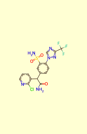 NC(=O)C(c1ccc(-n2cnc(C(F)(F)F)n2)c(S(N)(=O)=O)c1)c1cccnc1Cl